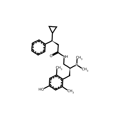 Cc1cc(O)cc(C)c1C[C@@H](CNC(=O)C[C@@H](c1ccccc1)C1CC1)N(C)C